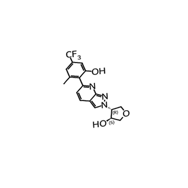 Cc1cc(C(F)(F)F)cc(O)c1-c1ccc2cn([C@@H]3COC[C@H]3O)nc2n1